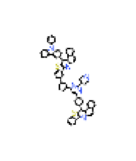 c1ccc(-n2c3ccccc3c3cc(-c4c5sc6ccc(-c7cccc(-c8cc(-c9ccc(-c%10c%11sc%12ccccc%12c%11nc%11ccc%12ccccc%12c%10%11)cc9)nc(-c9ccncc9)n8)c7)cc6c5nc5ccc6ccccc6c45)ccc32)cc1